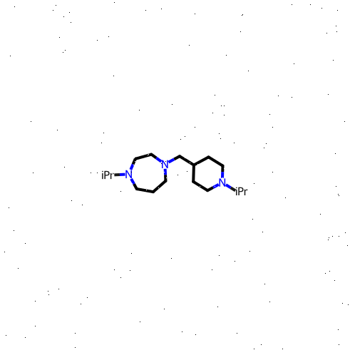 CC(C)N1CCC(CN2CCCN(C(C)C)CC2)CC1